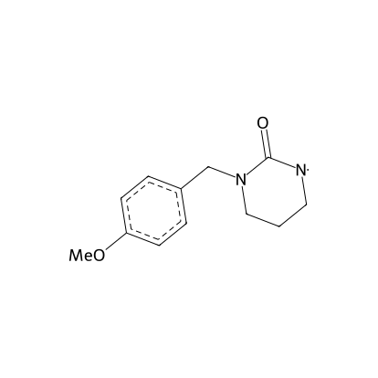 COc1ccc(CN2CCC[N]C2=O)cc1